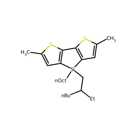 CCCCCCCC[Si]1(CC(CC)CCCC)c2cc(C)sc2-c2sc(C)cc21